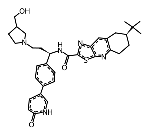 CC(C)(C)[C@H]1CCc2nc3sc(C(=O)N[C@H](CCN4CCC(CO)C4)c4ccc(-c5ccc(=O)[nH]c5)cc4)nc3cc2C1